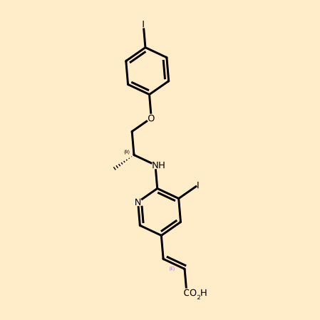 C[C@H](COc1ccc(I)cc1)Nc1ncc(/C=C/C(=O)O)cc1I